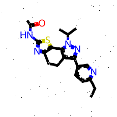 CCc1ccc(-c2nn(C(C)C)c3c2CCc2nc(NC(C)=O)sc2-3)cn1